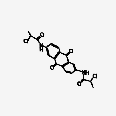 CC(Cl)C(=O)Nc1ccc2c(c1)C(=O)c1ccc(NC(=O)C(C)Cl)cc1C2=O